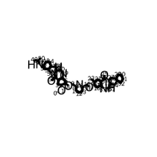 COc1cc2c(cc1OCc1cccc(COc3cc4c(cc3C)C(=O)N3Cc5ccccc5C[C@H]3C=N4)n1)N=C[C@@H]1Cc3ccc(NC(C)C)cc3CN1C2=O